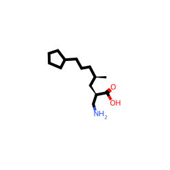 C[C@H](CCCC1CCCC1)C[C@H](CN)C(=O)O